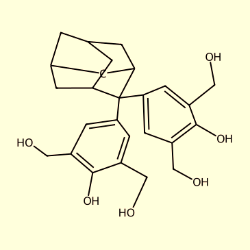 OCc1cc(C2(c3cc(CO)c(O)c(CO)c3)C3CC4CC(C3)CC2C4)cc(CO)c1O